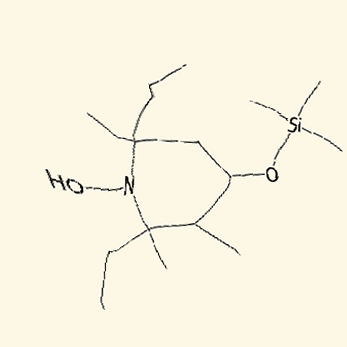 CCC1(C)CC(O[Si](C)(C)C)C(C)C(C)(CC)N1O